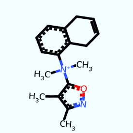 Cc1noc([N+](C)(C)c2cccc3c2CC=CC3)c1C